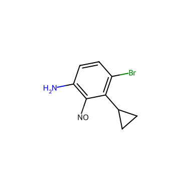 Nc1ccc(Br)c(C2CC2)c1N=O